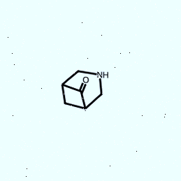 O=C1[C]2CNCC1C2